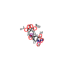 CCOC(=O)C1(C(=O)OCC)CCP(=O)(c2ccc([N+](=O)[O-])c(OC)c2)CC1